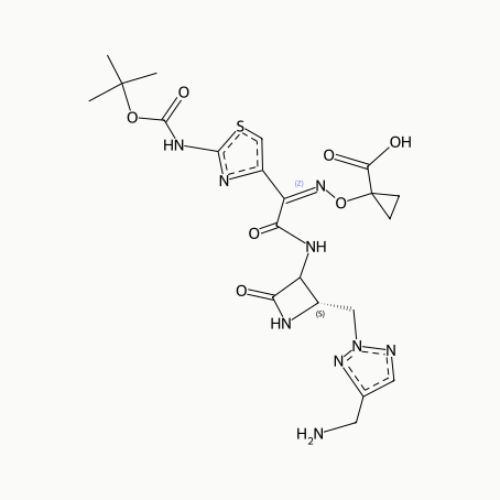 CC(C)(C)OC(=O)Nc1nc(/C(=N/OC2(C(=O)O)CC2)C(=O)NC2C(=O)N[C@H]2Cn2ncc(CN)n2)cs1